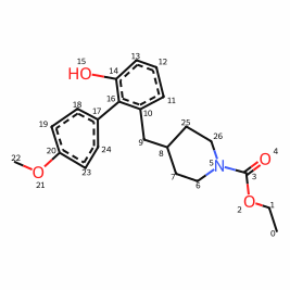 CCOC(=O)N1CCC(Cc2cccc(O)c2-c2ccc(OC)cc2)CC1